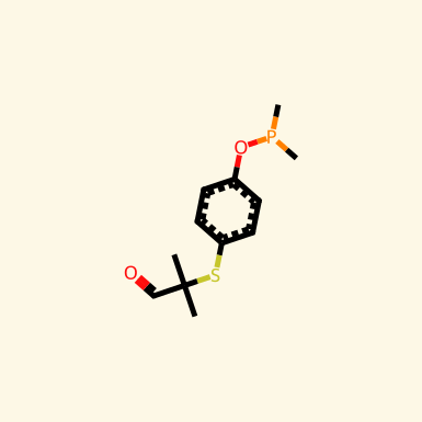 CP(C)Oc1ccc(SC(C)(C)C=O)cc1